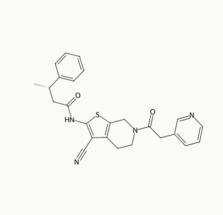 C[C@@H](CC(=O)Nc1sc2c(c1C#N)CCN(C(=O)Cc1cccnc1)C2)c1ccccc1